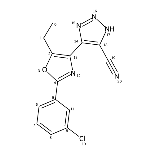 CCc1oc(-c2cccc(Cl)c2)nc1-c1nn[nH]c1C#N